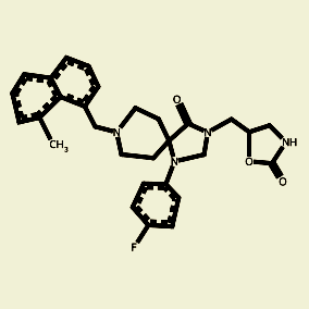 Cc1cccc2cccc(CN3CCC4(CC3)C(=O)N(CC3CNC(=O)O3)CN4c3ccc(F)cc3)c12